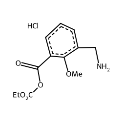 CCOC(=O)OC(=O)c1cccc(CN)c1OC.Cl